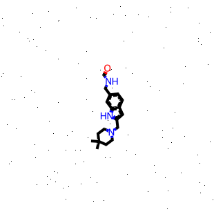 CC1(C)CCN(Cc2cc3ccc(CNC=O)cc3[nH]2)CC1